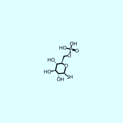 O=P(O)(O)OC[C@H]1O[C@@H](S)[C@H](O)[C@@H](O)[C@@H]1O